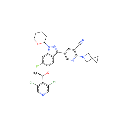 C[C@@H](Oc1cc2c(-c3cnc(N4CC5(CC5)C4)c(C#N)c3)nn(C3CCCCO3)c2cc1F)c1c(Cl)cncc1Cl